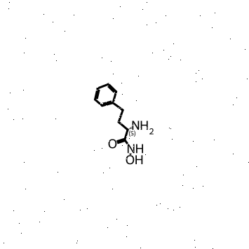 N[C@@H](CCc1ccccc1)C(=O)NO